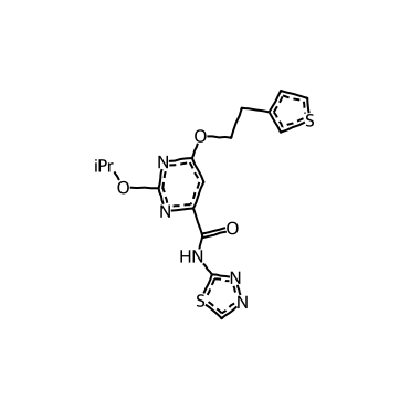 CC(C)Oc1nc(OCCc2ccsc2)cc(C(=O)Nc2nncs2)n1